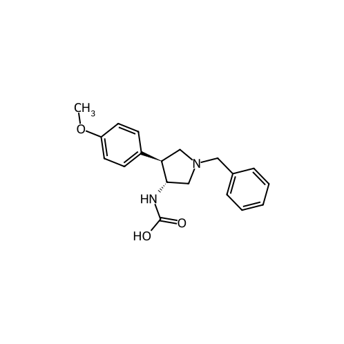 COc1ccc([C@H]2CN(Cc3ccccc3)C[C@@H]2NC(=O)O)cc1